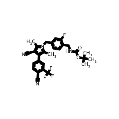 Cc1c(C#N)c(-c2ccc(C#N)c(C(F)(F)F)c2)c(C)n1Cc1ccc(CNC(=O)OC(C)(C)C)c(F)c1